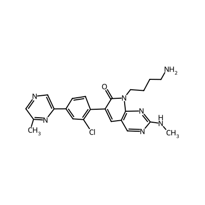 CNc1ncc2cc(-c3ccc(-c4cncc(C)n4)cc3Cl)c(=O)n(CCCCN)c2n1